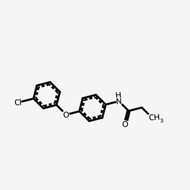 CCC(=O)Nc1ccc(Oc2cccc(Cl)c2)cc1